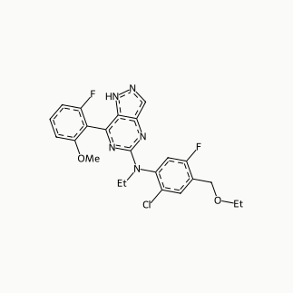 CCOCc1cc(Cl)c(N(CC)c2nc(-c3c(F)cccc3OC)c3[nH]ncc3n2)cc1F